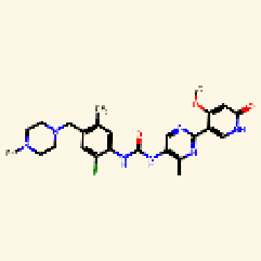 CCOc1cc(=O)[nH]cc1-c1ncc(NC(=O)Nc2cc(C(F)(F)F)c(CN3CCN(CC)CC3)cc2F)c(C)n1